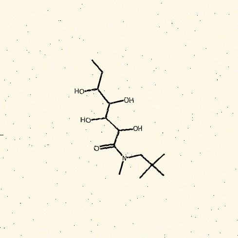 CCC(O)C(O)C(O)C(O)C(=O)N(C)CC(C)(C)C